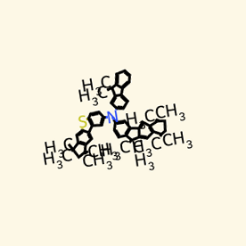 CC1(C)CCC(C)(C)c2cc3c(cc21)-c1cc(N(c2ccc4c(c2)C(C)(C)c2ccccc2-4)c2ccc4sc5cc6c(cc5c4c2)C(C)(C)CC6(C)C)ccc1C3(C)C